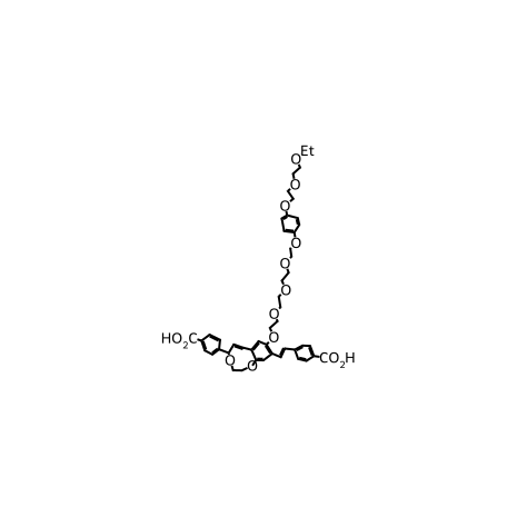 CCOCCOCCOc1ccc(OCCOCCOCCOCCOc2cc3c(cc2/C=C/c2ccc(C(=O)O)cc2)OCCOC(c2ccc(C(=O)O)cc2)/C=C/3)cc1